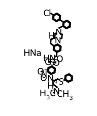 CN(C)CC[C@H](CSc1ccccc1)Nc1ccc(S(=O)(=O)NC(=O)c2ccc3c(c2)CC[C@@H]2CN(Cc4ccccc4-c4ccc(Cl)cc4)CCN32)cc1[N+](=O)[O-].[NaH]